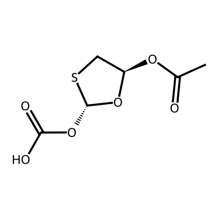 CC(=O)O[C@@H]1CS[C@@H](OC(=O)O)O1